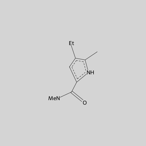 CCc1cc(C(=O)NC)[nH]c1C